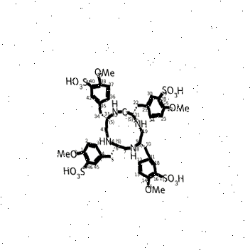 COc1ccc(C[C@H]2CN[C@@H](Cc3ccc(OC)c(S(=O)(=O)O)c3)CN[C@@H](Cc3ccc(OC)c(S(=O)(=O)O)c3)CN[C@@H](Cc3ccc(OC)c(S(=O)(=O)O)c3)CN2)cc1S(=O)(=O)O